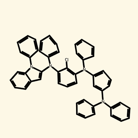 Clc1c(N(c2ccccc2)c2cccc(N(c3ccccc3)c3ccccc3)c2)cccc1N(c1ccccc1)c1cc2ccccc2n1-c1ccccc1